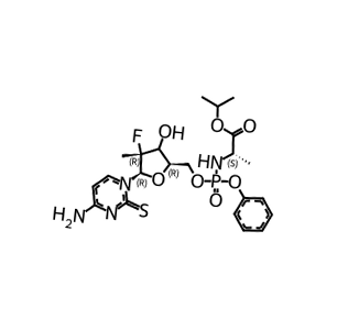 CC(C)OC(=O)[C@H](C)NP(=O)(OC[C@H]1O[C@@H](n2ccc(N)nc2=S)[C@](C)(F)C1O)Oc1ccccc1